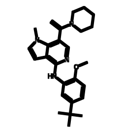 C=C(c1cnc(Nc2cc(C(C)(C)C)ccc2OC)c2ccn(C)c12)N1CCCCC1